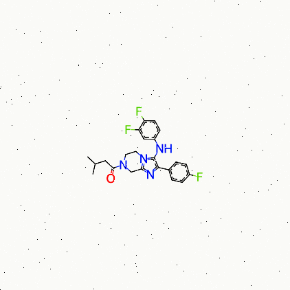 CC(C)CC(=O)N1CCn2c(nc(-c3ccc(F)cc3)c2Nc2ccc(F)c(F)c2)C1